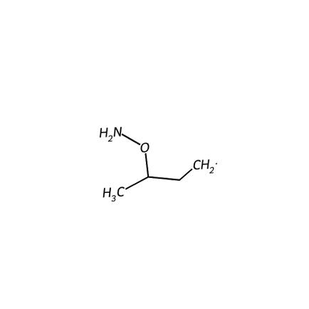 [CH2]CC(C)ON